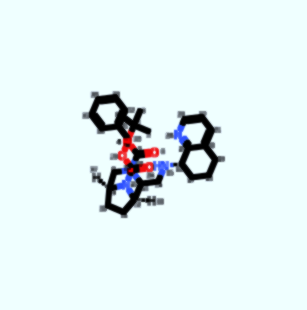 CC(C)(C)OC(=O)N1C[C@@H]2CC[C@H](C1CN[C@H]1CCCc3cccnc31)N2C(=O)OCc1ccccc1